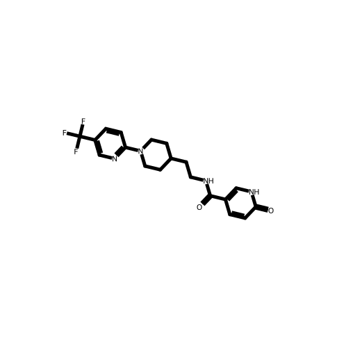 O=C(NCCC1CCN(c2ccc(C(F)(F)F)cn2)CC1)c1ccc(=O)[nH]c1